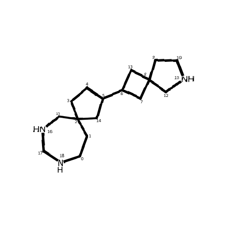 C1CC2(CCC(C3CC4(CCNC4)C3)C2)CNCN1